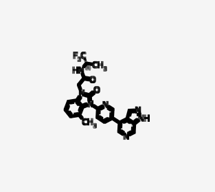 Cc1cccc2c1n(-c1ccc(-c3cncc4[nH]ncc34)cn1)c(=O)n2CC(=O)N[C@@H](C)C(F)(F)F